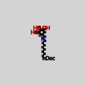 CCCCCCCCCCCCCCCCCC/N=C/c1cc(O)c(O)c(O)c1